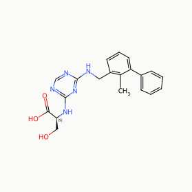 Cc1c(CNc2ncnc(N[C@@H](CO)C(=O)O)n2)cccc1-c1ccccc1